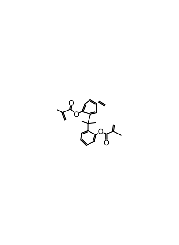 C=C.C=C(C)C(=O)Oc1ccccc1C(C)(C)c1ccccc1OC(=O)C(=C)C